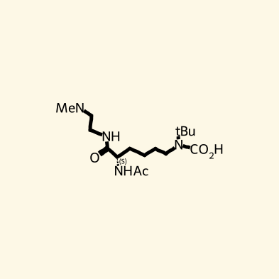 CNCCNC(=O)[C@H](CCCCN(C(=O)O)C(C)(C)C)NC(C)=O